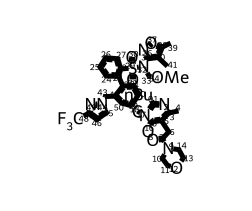 CCCCc1nc(C)c(CC(=O)N2CCOCC2)c(=O)n1Cc1ccc(-c2ccccc2S(=O)(=O)N(COC)c2noc(C)c2C)c(Cn2ccc(C(F)(F)F)n2)c1